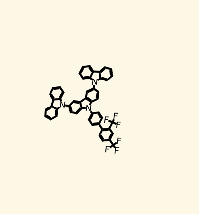 FC(F)(F)c1ccc(-c2ccc(-n3c4ccc(-n5c6ccccc6c6ccccc65)cc4c4cc(-n5c6ccccc6c6ccccc65)ccc43)cc2)c(C(F)(F)F)c1